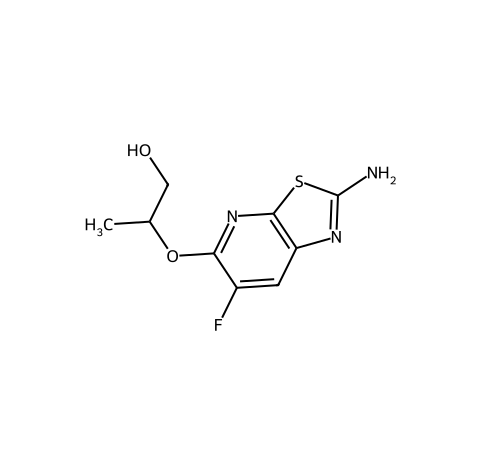 CC(CO)Oc1nc2sc(N)nc2cc1F